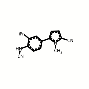 CC(C)c1cc(-c2ccc(C#N)n2C)ccc1NC#N